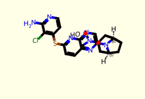 CN(C(=O)O)C1C[C@H]2CC[C@@H](C1)N2c1cnc2nc(Sc3ccnc(N)c3Cl)ccc2n1